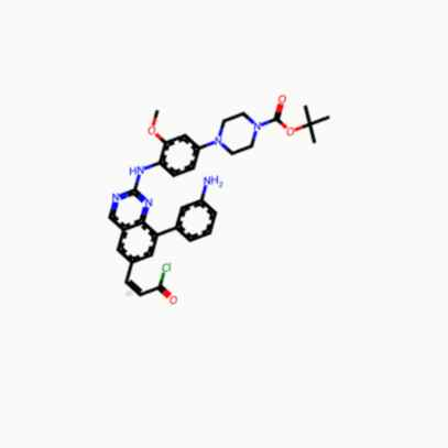 COc1cc(N2CCN(C(=O)OC(C)(C)C)CC2)ccc1Nc1ncc2cc(/C=C\C(=O)Cl)cc(-c3cccc(N)c3)c2n1